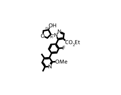 CCOC(=O)c1cnn([C@@H]2COC[C@H]2O)c1-c1ccc(-c2c(C)cc(C)nc2OC)cc1F